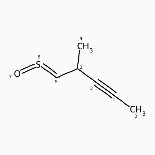 CC#CC(C)[C]=S=O